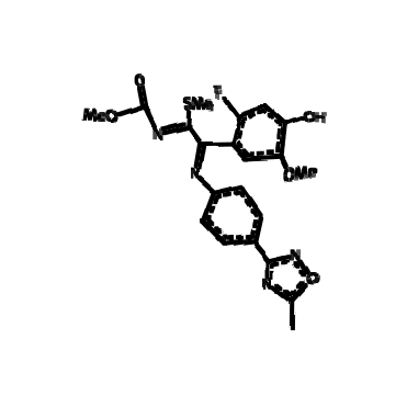 COC(=O)N=C(SC)C(=Nc1ccc(-c2noc(C)n2)cc1)c1cc(OC)c(O)cc1F